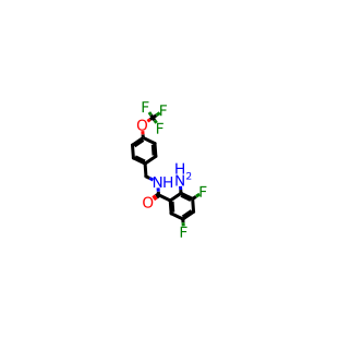 Nc1c(F)cc(F)cc1C(=O)NCc1ccc(OC(F)(F)F)cc1